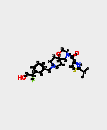 CC(C)c1nc(C(=O)N2CCOC3(CCN(Cc4cccc(C(F)CO)c4)CC3)C2)cs1